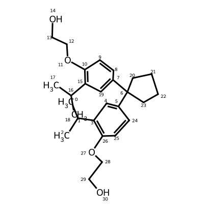 CC(C)c1cc(C2(c3ccc(OCCO)c(C(C)C)c3)CCCC2)ccc1OCCO